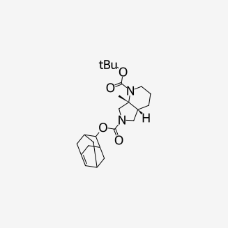 CC(C)(C)OC(=O)N1CCC[C@@H]2CN(C(=O)OC3C4CC5=CC(C4)CC3C5)C[C@@]21C